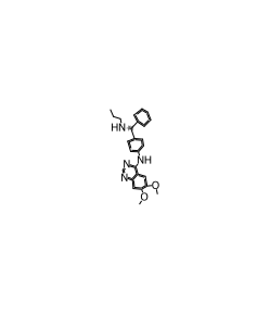 CCCN[C@H](c1ccccc1)c1ccc(Nc2ncnc3cc(OC)c(OC)cc23)cc1